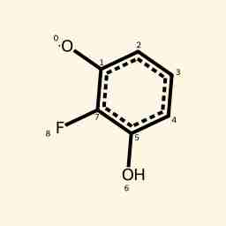 [O]c1cccc(O)c1F